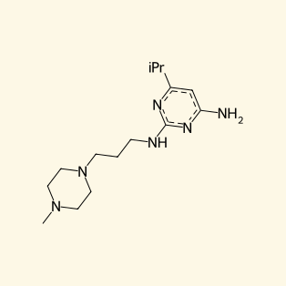 CC(C)c1cc(N)nc(NCCCN2CCN(C)CC2)n1